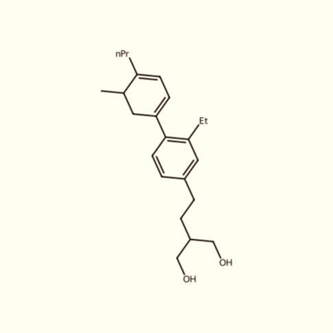 CCCC1=CC=C(c2ccc(CCC(CO)CO)cc2CC)CC1C